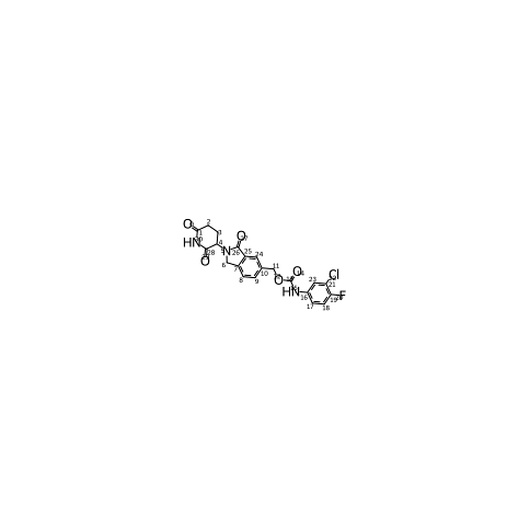 O=C1CCC(N2Cc3ccc(COC(=O)Nc4ccc(F)c(Cl)c4)cc3C2=O)C(=O)N1